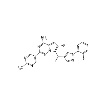 CC(c1cnn(-c2ccccc2F)c1)c1c(Br)cc2c(N)nc(-c3cnc(C(F)(F)F)nc3)nn12